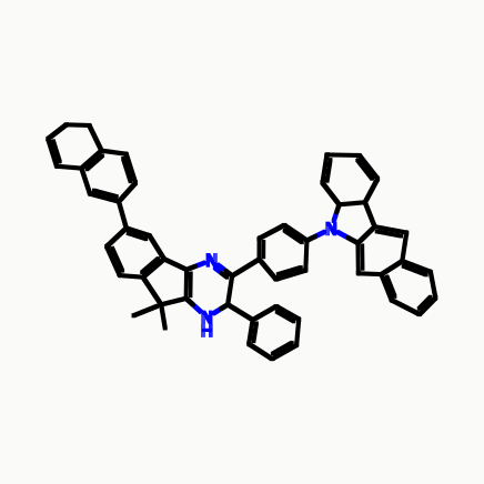 CC1(C)C2=C(N=C(c3ccc(N4c5cc6ccccc6cc5C5C=CC=CC54)cc3)C(c3ccccc3)N2)c2cc(-c3ccc4c(c3)C=CCC4)ccc21